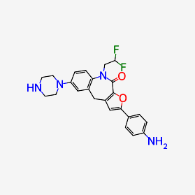 Nc1ccc(-c2cc3c(o2)C(=O)N(CC(F)F)c2ccc(N4CCNCC4)cc2C3)cc1